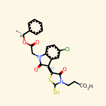 C[C@@H](OC(=O)CN1C(=O)/C(=C2\SC(S)N(CCC(=O)O)C2=O)c2cc(Cl)ccc21)c1ccccc1